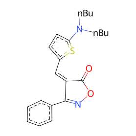 CCCCN(CCCC)c1ccc(/C=C2\C(=O)ON=C2c2ccccc2)s1